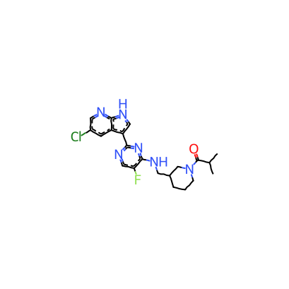 CC(C)C(=O)N1CCCC(CNc2nc(-c3c[nH]c4ncc(Cl)cc34)ncc2F)C1